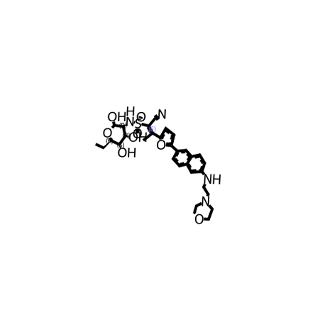 CC[C@H]1OC(O)[C@H](NS(=O)(=O)/C(C#N)=C(\C)c2ccc(-c3ccc4cc(NCCN5CCOCC5)ccc4c3)o2)[C@@H](O)[C@@H]1O